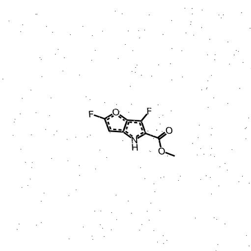 COC(=O)c1[nH]c2cc(F)oc2c1F